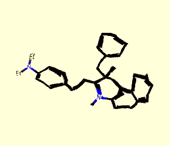 CCN(CC)c1ccc(/C=C/C2=[N+](C)c3ccc4ccccc4c3C2(C)Cc2ccccc2)cc1